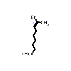 [CH2]CCCCCCCCCC/C=C(\C)CC